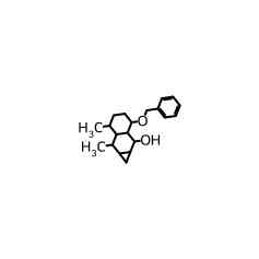 CC1CCC(OCc2ccccc2)C2C(O)C3CC3C(C)C12